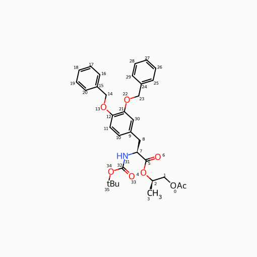 CC(=O)OC[C@@H](C)OC(=O)[C@H](Cc1ccc(OCc2ccccc2)c(OCc2ccccc2)c1)NC(=O)OC(C)(C)C